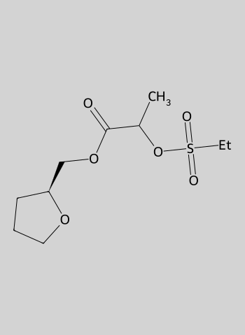 CCS(=O)(=O)OC(C)C(=O)OC[C@@H]1CCCO1